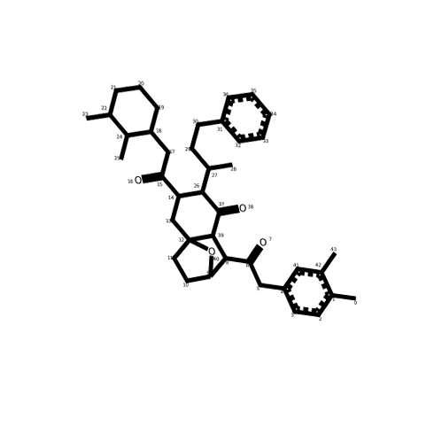 Cc1ccc(CC(=O)C2C3CCC4(CC(C(=O)CC5CCCC(C)C5C)C(C(C)CCc5ccccc5)C(=O)C24)O3)cc1C